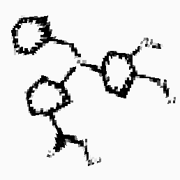 CCOc1ccc(N(Cc2cccnc2)c2cccc(C(=O)OC(C)(C)C)c2)cc1OC